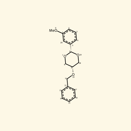 COc1cccc([C@H]2OC[C@@H](OCc3ccccc3)CO2)c1